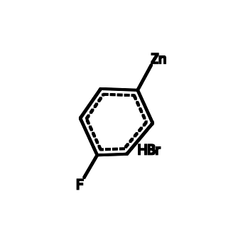 Br.Fc1cc[c]([Zn])cc1